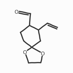 C=CC1CC2(CCC1C=O)OCCO2